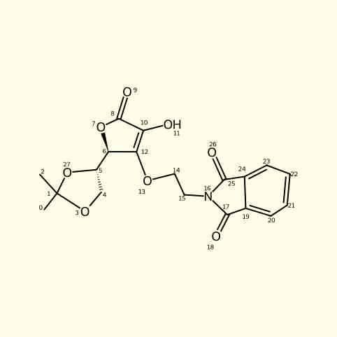 CC1(C)OC[C@@H]([C@H]2OC(=O)C(O)=C2OCCN2C(=O)c3ccccc3C2=O)O1